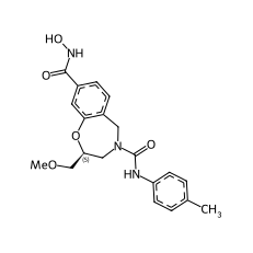 COC[C@@H]1CN(C(=O)Nc2ccc(C)cc2)Cc2ccc(C(=O)NO)cc2O1